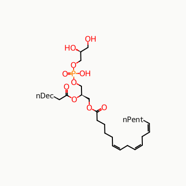 CCCCC/C=C\C/C=C\C/C=C\CCCCC(=O)OC[C@H](COP(=O)(O)OC[C@@H](O)CO)OC(=O)CCCCCCCCCCC